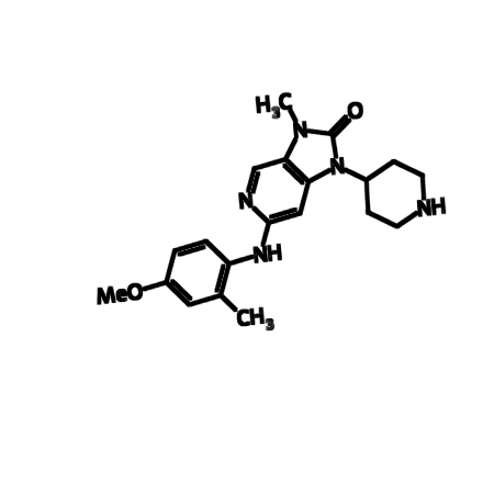 COc1ccc(Nc2cc3c(cn2)n(C)c(=O)n3C2CCNCC2)c(C)c1